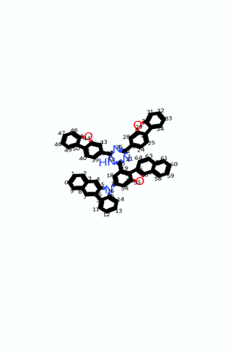 c1ccc2cc3c(cc2c1)c1ccccc1n3-c1cc(C2=NC(c3ccc4c(c3)oc3ccccc34)=NC(c3ccc4c(c3)oc3ccccc34)N2)c2c(c1)oc1c3ccccc3ccc12